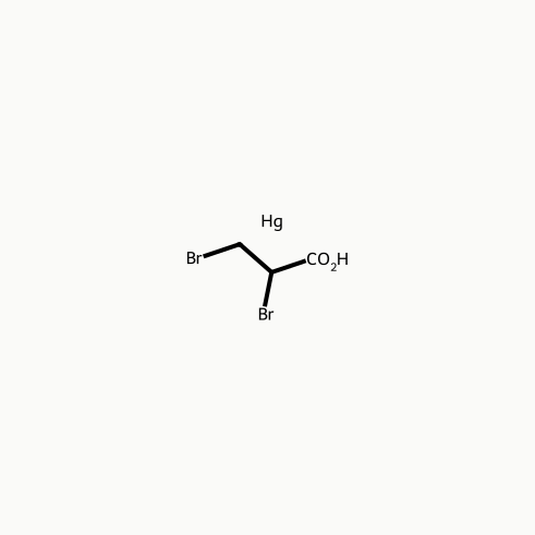 O=C(O)C(Br)CBr.[Hg]